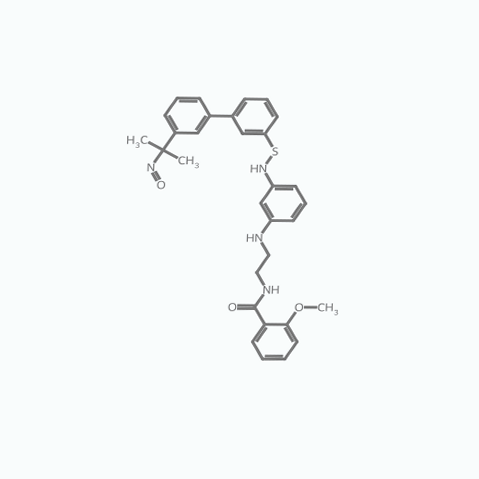 COc1ccccc1C(=O)NCCNc1cccc(NSc2cccc(-c3cccc(C(C)(C)N=O)c3)c2)c1